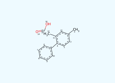 Cc1ccc(-c2ccccc2)c(C)c1.O=CO